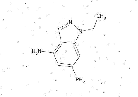 CCn1ncc2c(N)cc(P)cc21